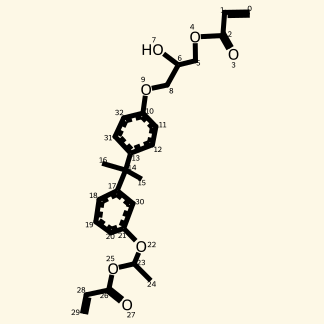 C=CC(=O)OCC(O)COc1ccc(C(C)(C)c2cccc(OC(C)OC(=O)C=C)c2)cc1